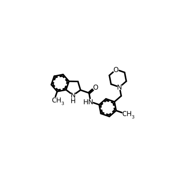 Cc1ccc(NC(=O)C2Cc3cccc(C)c3N2)cc1CN1CCOCC1